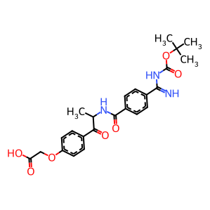 CC(NC(=O)c1ccc(C(=N)NC(=O)OC(C)(C)C)cc1)C(=O)c1ccc(OCC(=O)O)cc1